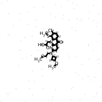 COCCN(c1ccc2c(=O)c3ccc(Cl)c(SC)c3n(CC(=O)O)c2n1)[C@H]1C[C@@H](OC)C1